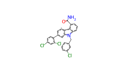 NC(=O)c1cccc2c1c1[c]cc(-c3ccc(Cl)cc3Cl)cc1n2Cc1cccc(Cl)c1